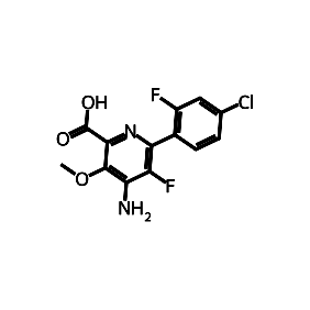 COc1c(C(=O)O)nc(-c2ccc(Cl)cc2F)c(F)c1N